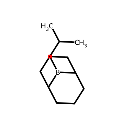 CC(C)CB1C2CCCC1CCC2